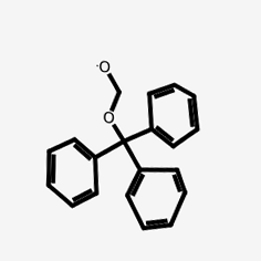 [O]COC(c1ccccc1)(c1ccccc1)c1ccccc1